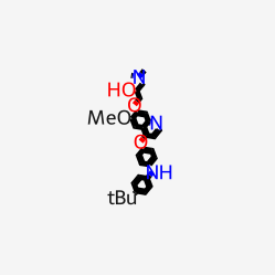 COc1cc2c(Oc3ccc(Nc4ccc(C(C)(C)C)cc4)cc3)ccnc2cc1OCC(O)CN(C)C